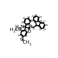 COc1ccc(C(N)(C(=O)OCC2c3ccccc3-c3ccccc32)c2ccccc2)c(OC)c1